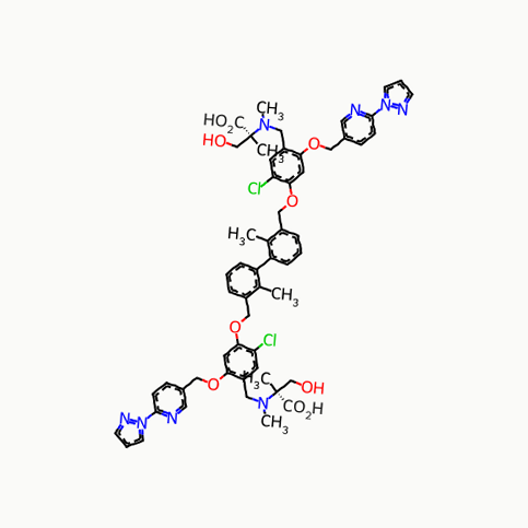 Cc1c(COc2cc(OCc3ccc(-n4cccn4)nc3)c(CN(C)[C@@](C)(CO)C(=O)O)cc2Cl)cccc1-c1cccc(COc2cc(OCc3ccc(-n4cccn4)nc3)c(CN(C)[C@@](C)(CO)C(=O)O)cc2Cl)c1C